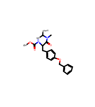 CCCCCC(C#N)N(C)C(=O)C(Cc1ccc(OCc2ccccc2)cc1)NC(=O)OC(C)(C)C